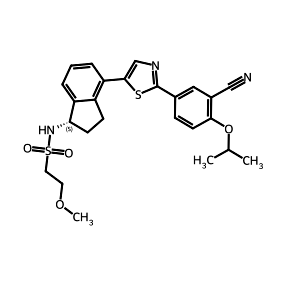 COCCS(=O)(=O)N[C@H]1CCc2c(-c3cnc(-c4ccc(OC(C)C)c(C#N)c4)s3)cccc21